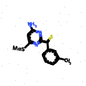 CSc1cc(N)nc(C(=S)c2cccc(C)c2)n1